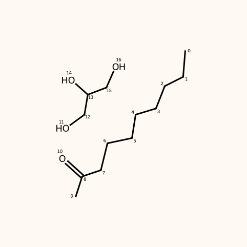 CCCCCCCCC(C)=O.OCC(O)CO